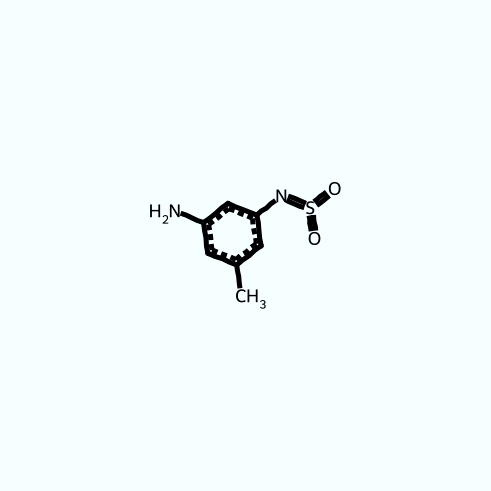 Cc1cc(N)cc(N=S(=O)=O)c1